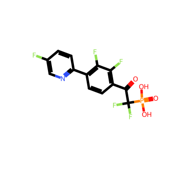 O=C(c1ccc(-c2ccc(F)cn2)c(F)c1F)C(F)(F)P(=O)(O)O